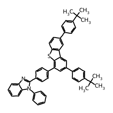 CC(C)(C)c1ccc(-c2ccc3sc4c(-c5ccc(-c6nc7ccccc7n6-c6ccccc6)cc5)cc(-c5ccc(C(C)(C)C)cc5)cc4c3c2)cc1